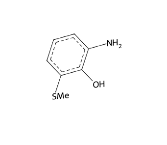 CSc1cccc(N)c1O